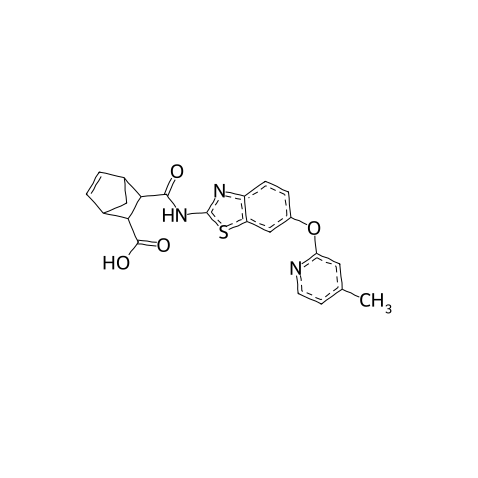 Cc1ccnc(Oc2ccc3nc(NC(=O)C4C5C=CC(C5)C4C(=O)O)sc3c2)c1